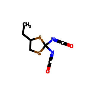 CCC1CSC(N=C=O)(N=C=O)S1